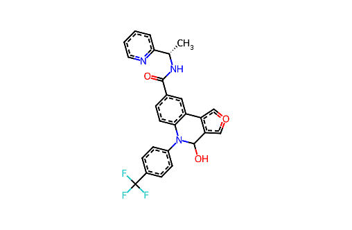 C[C@H](NC(=O)c1ccc2c(c1)-c1cocc1C(O)N2c1ccc(C(F)(F)F)cc1)c1ccccn1